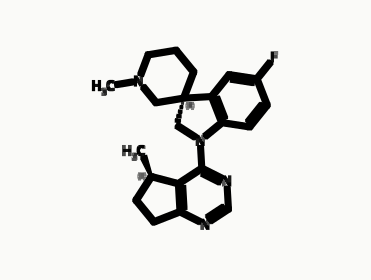 C[C@@H]1CCc2ncnc(N3C[C@]4(CCCN(C)C4)c4cc(F)ccc43)c21